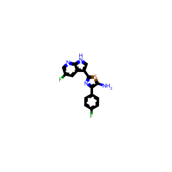 Nc1sc(-c2c[nH]c3ncc(F)cc23)nc1-c1ccc(F)cc1